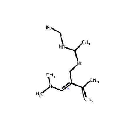 C=C(C)/C(=C/N(C)C)CNC(C)NCC(C)C